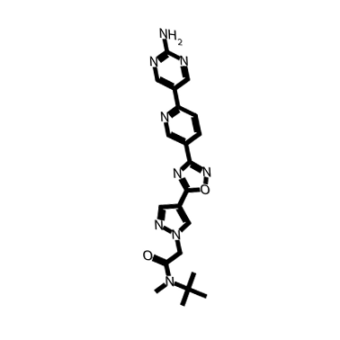 CN(C(=O)Cn1cc(-c2nc(-c3ccc(-c4cnc(N)nc4)nc3)no2)cn1)C(C)(C)C